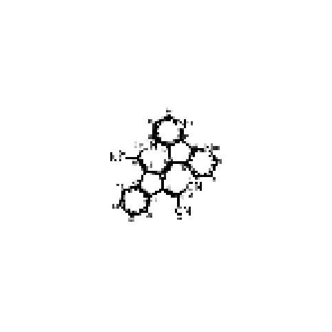 N#CC(C#N)=C1C(=C2c3cccnc3-c3ncccc32)C(=C(C#N)C#N)c2ccccc21